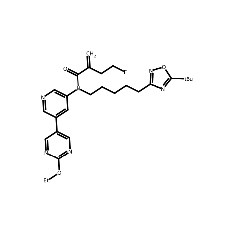 C=C(CCF)C(=O)N(CCCCCc1noc(C(C)(C)C)n1)c1cncc(-c2cnc(OCC)nc2)c1